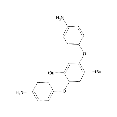 CC(C)(C)c1cc(Oc2ccc(N)cc2)c(C(C)(C)C)cc1Oc1ccc(N)cc1